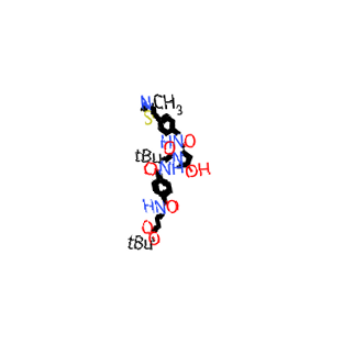 Cc1ncsc1-c1ccc(CNC(=O)[C@@H]2C[C@@H](O)CN2C(=O)[C@@H](NC(=O)c2ccc(C(=O)NCCCC(=O)OC(C)(C)C)cc2)C(C)(C)C)cc1